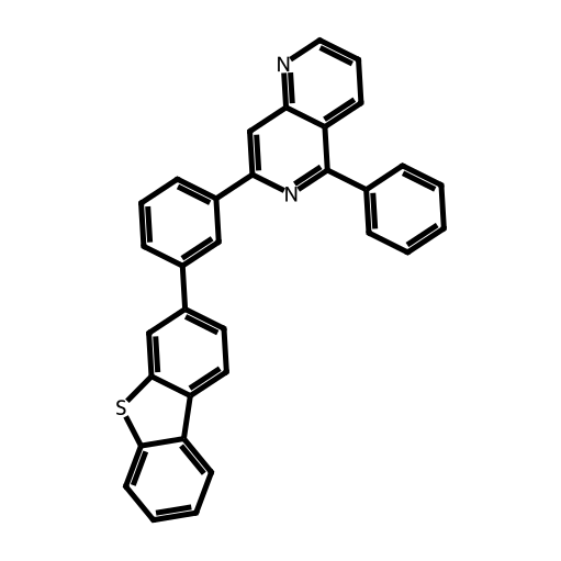 c1ccc(-c2nc(-c3cccc(-c4ccc5c(c4)sc4ccccc45)c3)cc3ncccc23)cc1